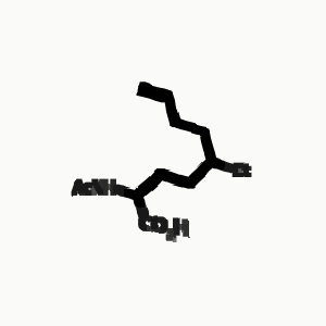 C=CCCC(CC)CCC(NC(C)=O)C(=O)O